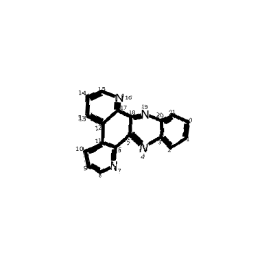 c1ccc2nc3c4ncccc4c4cccnc4c3nc2c1